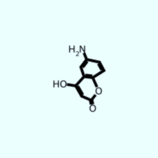 Nc1ccc2oc(=O)cc(O)c2c1